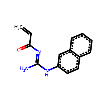 C=CC(=O)N=C(N)Nc1ccc2ccccc2c1